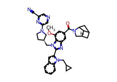 COc1cc(C(=O)N2CC3CC4CC2[C@H]43)cc2nc(-c3cc4ccccc4n3CC3CC3)n(C[C@H]3CCN(c4cncc(C#N)n4)C3)c12